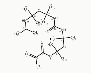 C=C(C)C(=O)OC(C)(C)CC(C)(C)NC(=O)NC(C)(C)CC(C)(C)NC(C)C